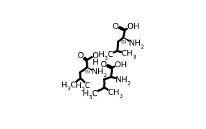 CC(C)CC(N)C(=O)O.CC(C)C[C@H](N)C(=O)O.CC(C)C[C@H](N)C(=O)O